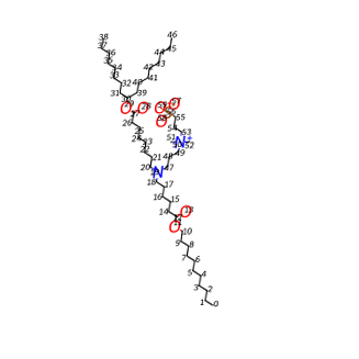 CCCCCCCCCCCOC(=O)CCCCCN(CCCCCCCC(=O)OC(CCCCCCCC)CCCCCCCC)CCC[N+](C)(C)CCCS(=O)(=O)[O-]